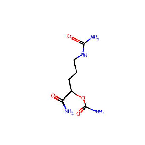 NC(=O)NCCCC(OC(N)=O)C(N)=O